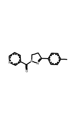 Cc1ccc(C2=NN(C(=O)c3cccnc3)CC2)cc1